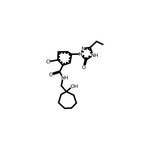 CCc1nn(-c2ccc(Cl)c(C(=O)NCC3(O)CCCCCC3)c2)c(=O)[nH]1